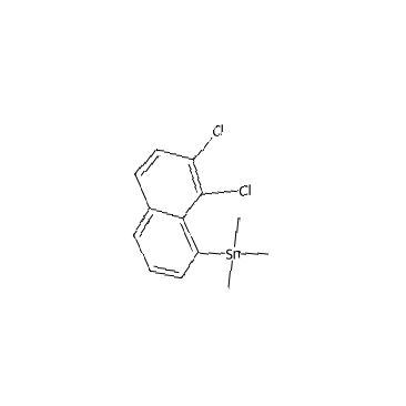 [CH3][Sn]([CH3])([CH3])[c]1cccc2ccc(Cl)c(Cl)c12